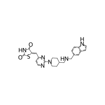 O=C1NC(=O)/C(=C/c2ccnc(N3CCC(CNCc4ccc5[nH]ccc5c4)CC3)n2)S1